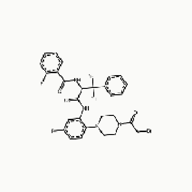 [2H]C([2H])(c1ccccc1)C(NC(=O)c1ccccc1F)C(=O)Nc1cc(F)ccc1N1CCN(C(=O)CBr)CC1